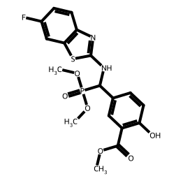 COC(=O)c1cc(C(Nc2nc3ccc(F)cc3s2)P(=O)(OC)OC)ccc1O